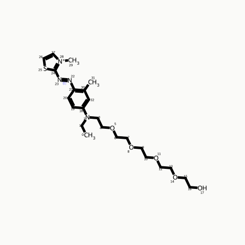 CCN(CCOCCOCCOCCOCCO)c1ccc(/N=N/c2scc[n+]2C)c(C)c1